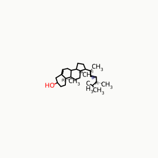 CC(C)[C@@H](C)/C=C/[C@@H](C)C1CCC2C3CC=C4CC(O)CC[C@]4(C)C3CC[C@@]21C